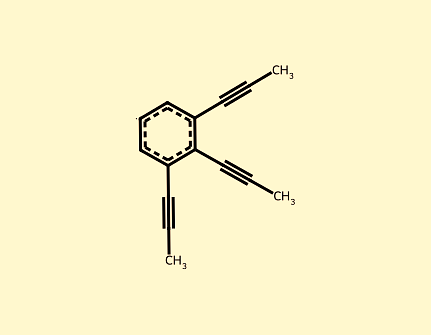 CC#Cc1c[c]cc(C#CC)c1C#CC